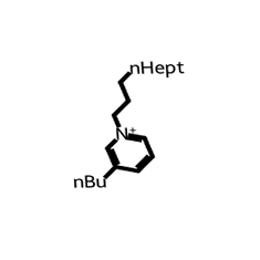 CCCCCCCCCC[n+]1cccc(CCCC)c1